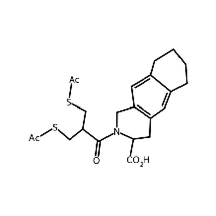 CC(=O)SCC(CSC(C)=O)C(=O)N1Cc2cc3c(cc2CC1C(=O)O)CCCC3